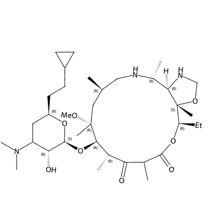 CC[C@H]1OC(=O)C(C)C(=O)[C@H](C)[C@@H](O[C@@H]2O[C@H](CCC3CC3)CC(N(C)C)[C@H]2O)[C@](C)(OC)C[C@@H](C)CN[C@H](C)[C@H]2NCO[C@@]21C